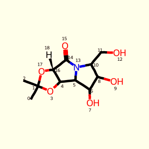 CC1(C)OC2C3C(O)C(O)C(CO)N3C(=O)[C@H]2O1